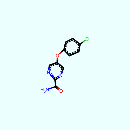 NC(=O)c1ncc(Oc2ccc(Cl)cc2)cn1